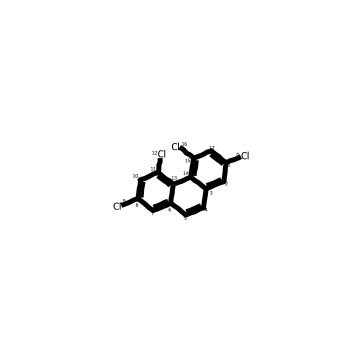 Clc1[c]c2ccc3cc(Cl)[c]c(Cl)c3c2c(Cl)c1